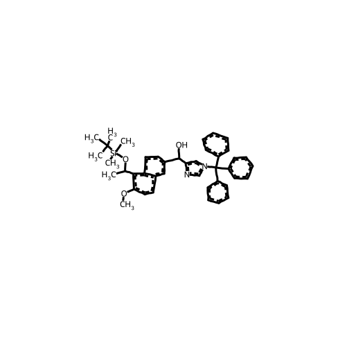 COc1ccc2cc(C(O)c3cn(C(c4ccccc4)(c4ccccc4)c4ccccc4)cn3)ccc2c1C(C)O[Si](C)(C)C(C)(C)C